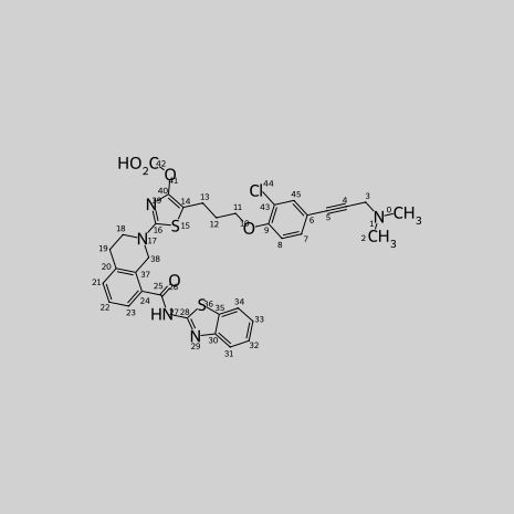 CN(C)CC#Cc1ccc(OCCCc2sc(N3CCc4cccc(C(=O)Nc5nc6ccccc6s5)c4C3)nc2OC(=O)O)c(Cl)c1